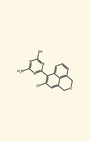 Nc1nc(S)nc(-c2c(Cl)cc3c4c(cccc24)COC3)n1